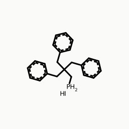 I.PCC(Cc1ccccc1)(Cc1ccccc1)Cc1ccccc1